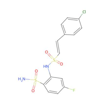 NS(=O)(=O)c1ccc(F)cc1NS(=O)(=O)C=Cc1ccc(Cl)cc1